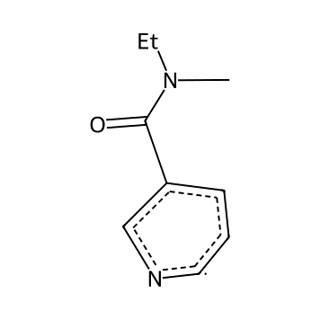 CCN(C)C(=O)c1cc[c]nc1